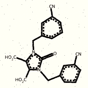 N#Cc1cccc(Cn2c(C(=O)O)c(C(=O)O)n(Cc3cccc(C#N)c3)c2=O)c1